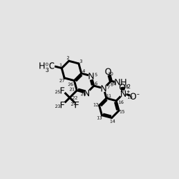 CC1CCc2nc(N(C(N)=O)c3ccccc3[N+](=O)[O-])nc(C(F)(F)F)c2C1